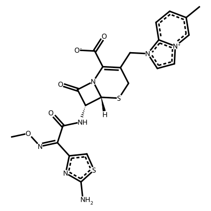 CO/N=C(\C(=O)N[C@@H]1C(=O)N2C(C(=O)[O-])=C(Cn3cc[n+]4cc(C)ccc34)CS[C@H]12)c1csc(N)n1